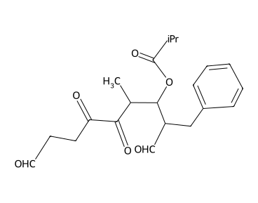 CC(C)C(=O)OC(C(C=O)Cc1ccccc1)C(C)C(=O)C(=O)CCC=O